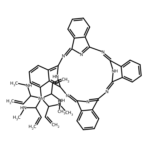 C=C[CH](NC)[Mn]([c]1cccc2c3nc4nc(nc5[nH]c(nc6nc(nc([nH]3)c12)-c1ccccc1-6)c1ccccc51)-c1ccccc1-4)([CH](C=C)NC)([CH](C=C)NC)[CH](C=C)NC